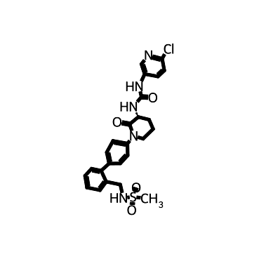 CS(=O)(=O)NCc1ccccc1-c1ccc(N2CCC[C@@H](NC(=O)Nc3ccc(Cl)nc3)C2=O)cc1